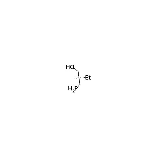 CCC(C)(CO)CP